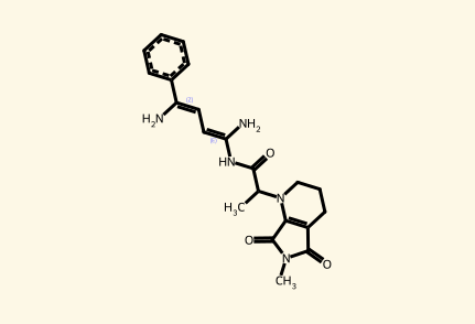 CC(C(=O)N/C(N)=C/C=C(\N)c1ccccc1)N1CCCC2=C1C(=O)N(C)C2=O